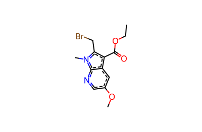 CCOC(=O)c1c(CBr)n(C)c2ncc(OC)cc12